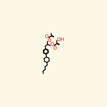 C=C(C)C(=O)OCC(COC(=O)C(=C)CO)Cc1ccc(C2CCC(CCCCC)CC2)cc1